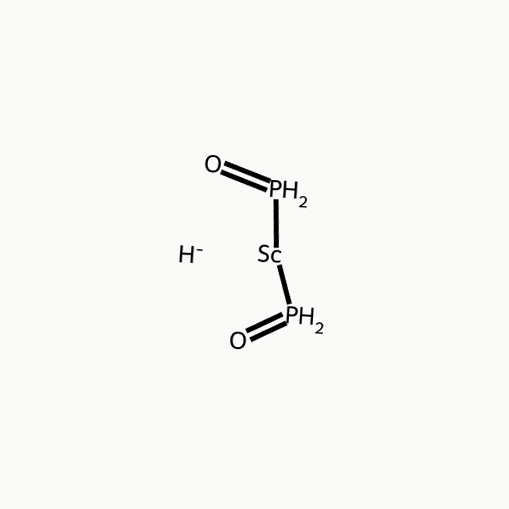 O=[PH2][Sc][PH2]=O.[H-]